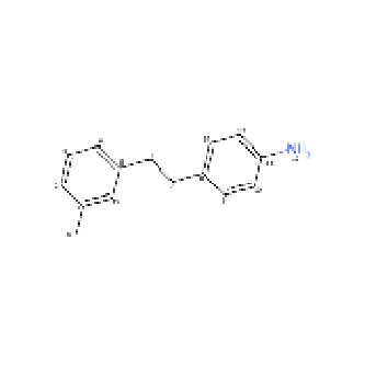 Cc1cccc(CCc2ccc(N)cc2)c1